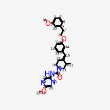 COc1cccc(CCOc2cccc(C=C3CCN(C(=O)Nc4cnc(OC)cn4)CC3C)c2)c1